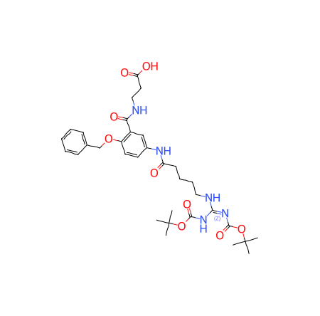 CC(C)(C)OC(=O)/N=C(/NCCCCC(=O)Nc1ccc(OCc2ccccc2)c(C(=O)NCCC(=O)O)c1)NC(=O)OC(C)(C)C